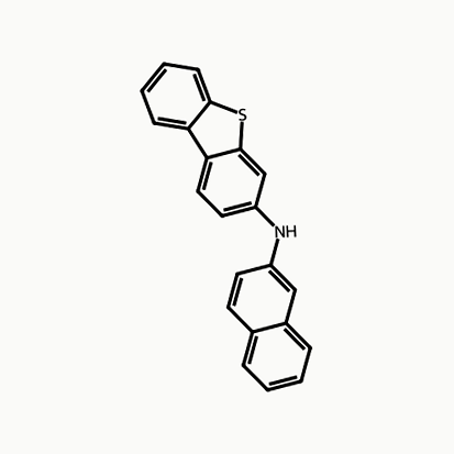 c1ccc2cc(Nc3ccc4c(c3)sc3ccccc34)ccc2c1